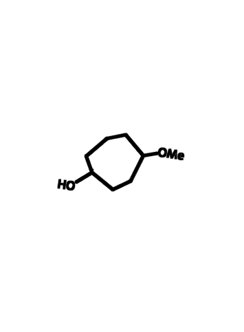 COC1CCC[C](O)CC1